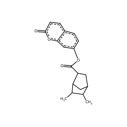 CC1C2CC(C(=O)Oc3ccc4ccc(=O)oc4c3)C(C2)C1C